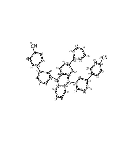 N#Cc1ccc(-c2cccc(-c3c4ccccc4c(-c4cccc(-c5ccc(C#N)nc5)c4)c4cc(-c5ccccc5)ccc34)c2)cn1